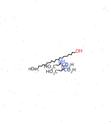 CCCCCCCCCCCCCCCCCCCCCCCCCCCCO.N[C@@H](CCC(=O)O)C(=O)O.N[C@@H](CCC(=O)O)C(=O)O